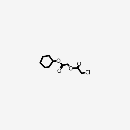 O=C(CCl)OCC(=O)OC1CCCCC1